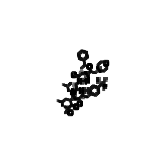 CC(C)CC(NC(=O)[C@H](Cc1ccc(C(F)(F)F)cc1)NC(=O)[C@H](CC(C)C)NC(=O)[C@H](CCc1ccccc1)NC(=O)CN1CCOCC1)C(=O)[C@@]1(C)CO1